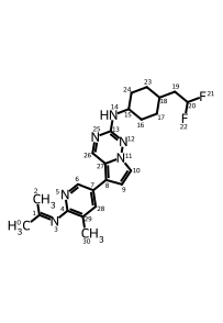 CC(C)=Nc1ncc(-c2ccn3nc(NC4CCC(CC(F)F)CC4)ncc23)cc1C